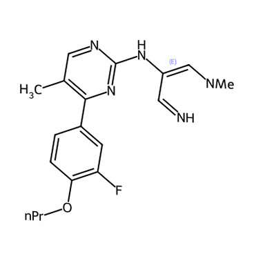 CCCOc1ccc(-c2nc(N/C(C=N)=C/NC)ncc2C)cc1F